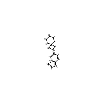 c1nc2ccc(N3CC4(CCCCC4)C3)cn2n1